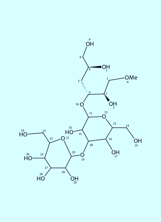 COC[C@@H](O)[C@@H](C[C@H](O)CO)OC1OC(CO)C(O)C(OC2OC(CO)C(O)C(O)C2O)C1O